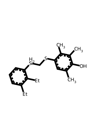 CCc1cccc([SiH2]CSc2cc(C)c(O)c(C)c2C)c1CC